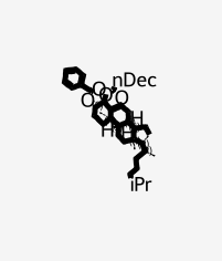 CCCCCCCCCCC(=O)OC1C2=CC[C@H]3[C@@H]4CC[C@H]([C@H](C)CCCC(C)C)[C@@]4(C)CC[C@@H]3[C@@]2(C)CC[C@@H]1OC(=O)c1ccccc1